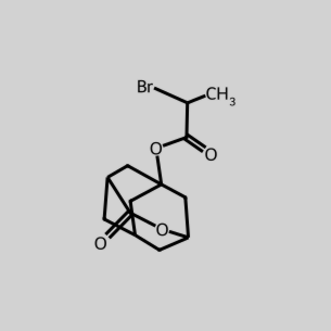 CC(Br)C(=O)OC12CC3CC(C1)OC(=O)C(C3)C2